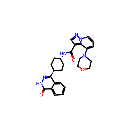 O=C(N[C@H]1CC[C@H](c2n[nH]c(=O)c3ccccc32)CC1)c1cnn2cccc(N3CCOCC3)c12